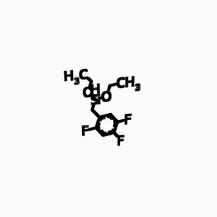 CCO[SiH](Cc1cc(F)c(F)cc1F)OCC